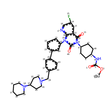 CC(C)(C)OC(=O)N[C@H]1CC[C@@H](n2c(=O)c3cc(F)cnc3n(-c3cccc(-c4ccc(CN5CCC(N6CCCCC6)CC5)cc4)c3)c2=O)CC1